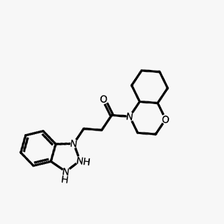 O=C(CCN1NNc2ccccc21)N1CCOC2CCCCC21